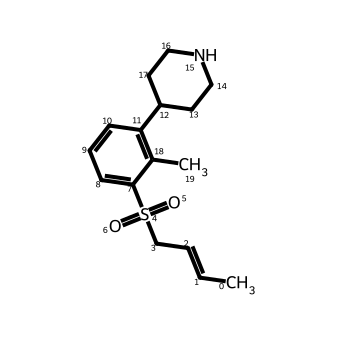 CC=CCS(=O)(=O)c1cccc(C2CCNCC2)c1C